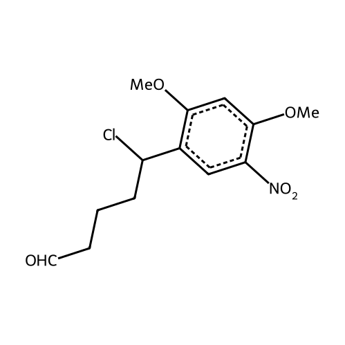 COc1cc(OC)c([N+](=O)[O-])cc1C(Cl)CCCC=O